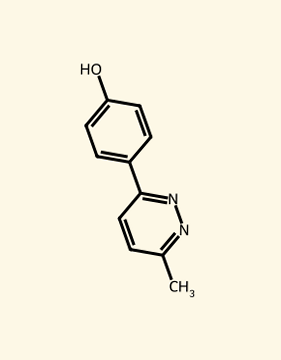 Cc1ccc(-c2ccc(O)cc2)nn1